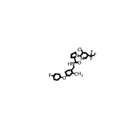 Cc1cc(Oc2ccc(F)cc2)ccc1CNC(=O)c1cccn1-c1ncc(C(F)(F)F)cc1Cl